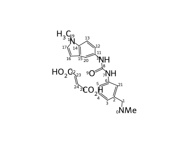 CNCc1cccc(NC(=O)Nc2ccc3c(ccn3C)c2)c1.O=C(O)C=CC(=O)O